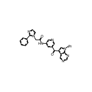 CC(C)n1cc(C(=O)c2cncc(NC(=O)Cn3ccnc3-c3ccccc3)c2)c2cncnc21